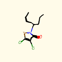 CCCC(CC)n1sc(Cl)c(Cl)c1=O